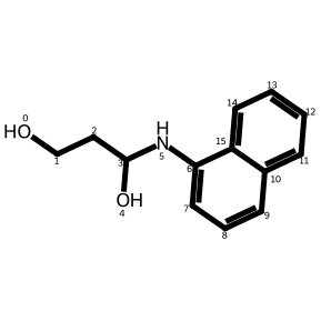 OCCC(O)Nc1cccc2ccccc12